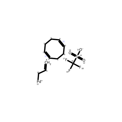 C1=C\CC/C=C\CC/1.C=C[CH2][Pd+].O=S(=O)([O-])C(F)(F)F